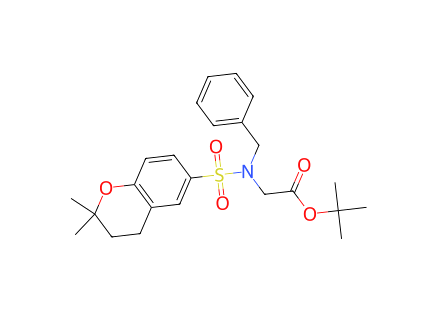 CC(C)(C)OC(=O)CN(Cc1ccccc1)S(=O)(=O)c1ccc2c(c1)CCC(C)(C)O2